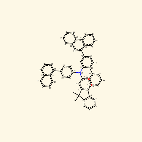 CC1(C)c2ccccc2-c2ccc(N(c3ccc(-c4cccc5ccccc45)cc3)c3cc(-c4cc5ccccc5c5ccccc45)ccc3-c3ccccc3)cc21